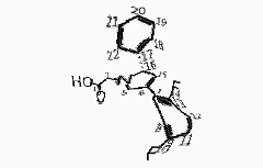 O=C(O)CN1CC(c2cc(F)ccc2F)=C[C@H]1c1ccccc1